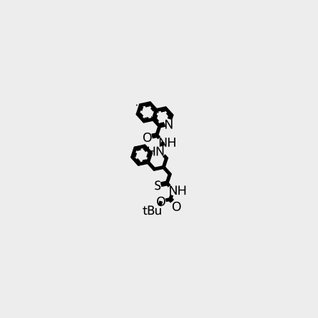 CC(C)(C)OC(=O)NC(=S)CC(CNNC(=O)c1nccc2c[c]ccc12)Cc1ccccc1